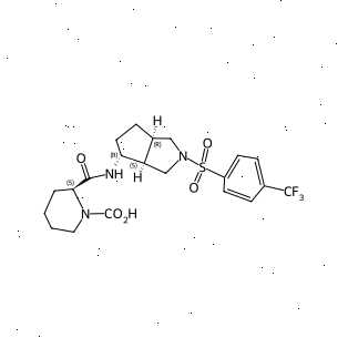 O=C(N[C@@H]1CC[C@H]2CN(S(=O)(=O)c3ccc(C(F)(F)F)cc3)C[C@H]21)[C@@H]1CCCCN1C(=O)O